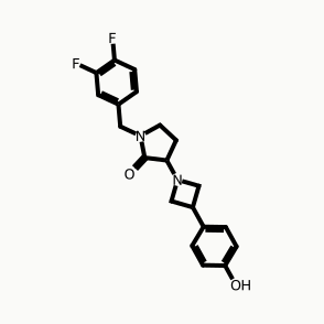 O=C1C(N2CC(c3ccc(O)cc3)C2)CCN1Cc1ccc(F)c(F)c1